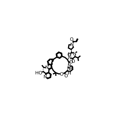 C=CC(=O)N1CC[C@H](C(=O)N(C)C(C(=O)N[C@H]2Cc3cccc(c3)-c3ccc4c(c3)c(c(-c3cccnc3[C@@H](C)O)n4CC)CC(C)(C)COC(=O)[C@@H]3CCCN(N3)C2=O)C(C)C)C1